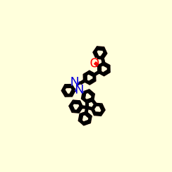 C1=CC2c3ccc(-n4c(-c5ccc(-c6cccc7c6oc6ccccc67)cc5)nc5ccccc54)cc3C(c3ccccc3)(c3ccccc3)C2C=C1